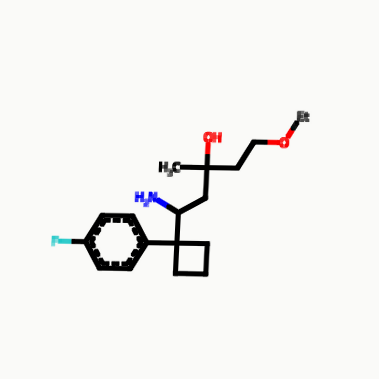 CCOCCC(C)(O)CC(N)C1(c2ccc(F)cc2)CCC1